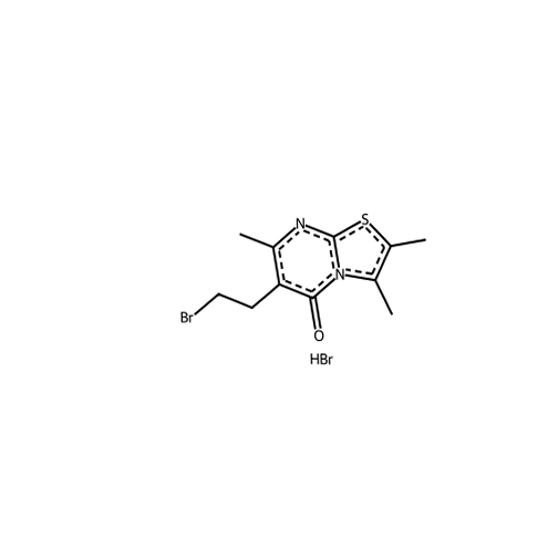 Br.Cc1nc2sc(C)c(C)n2c(=O)c1CCBr